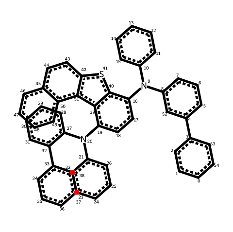 c1ccc(-c2cccc(N(c3ccccc3)c3ccc(N(c4ccccc4)c4ccccc4-c4ccccc4)c4c3sc3ccc5ccccc5c34)c2)cc1